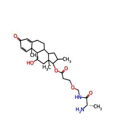 CC1CC2C3CCC4=CC(=O)C=CC4(C)C3C(O)CC2(C)C1OC(=O)CCOCNC(=O)[C@H](C)N